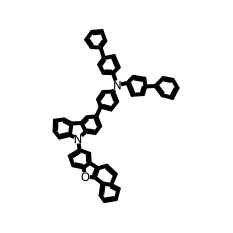 c1ccc(-c2ccc(N(c3ccc(-c4ccccc4)cc3)c3ccc(-c4ccc5c(c4)c4ccccc4n5-c4ccc5oc6c7ccccc7ccc6c5c4)cc3)cc2)cc1